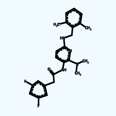 Cc1cccc(C)c1CNc1ccc(NC(=O)Cc2cc(F)cc(F)c2)c(N(C)C)n1